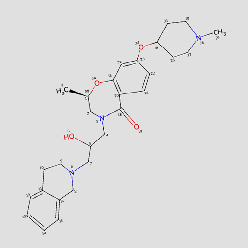 C[C@@H]1CN(CC(O)CN2CCc3ccccc3C2)C(=O)c2ccc(OC3CCN(C)CC3)cc2O1